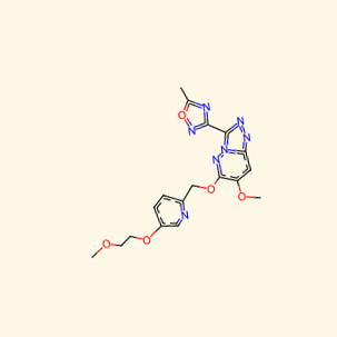 COCCOc1ccc(COc2nn3c(-c4noc(C)n4)nnc3cc2OC)nc1